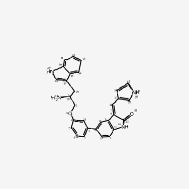 N[C@H](COc1cncc(-c2ccc3c(c2)/C(=C/c2cc[nH]c2)C(=O)N3)c1)Cc1c[nH]c2ccccc12